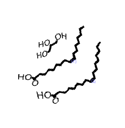 CCCCCCCC/C=C\CCCCCCCC(=O)O.CCCCCCCC/C=C\CCCCCCCC(=O)O.OCC(O)CO